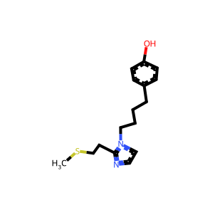 CSCCc1nccn1CCCCc1ccc(O)cc1